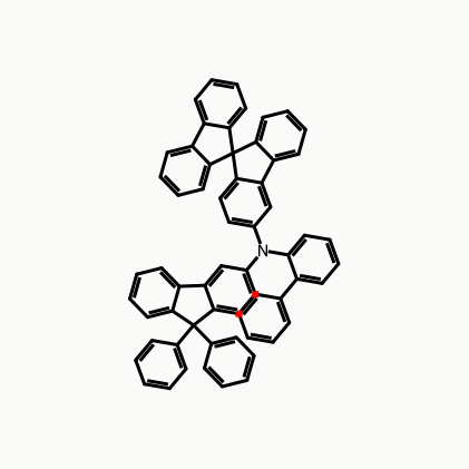 c1ccc(-c2ccccc2N(c2ccc3c(c2)-c2ccccc2C3(c2ccccc2)c2ccccc2)c2ccc3c(c2)-c2ccccc2C32c3ccccc3-c3ccccc32)cc1